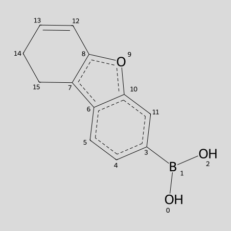 OB(O)c1ccc2c3c(oc2c1)C=CCC3